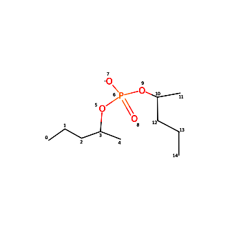 CCCC(C)OP([O])(=O)OC(C)CCC